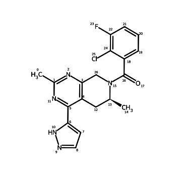 Cc1nc2c(c(-c3ccn[nH]3)n1)C[C@H](C)N(C(=O)c1cccc(F)c1Cl)C2